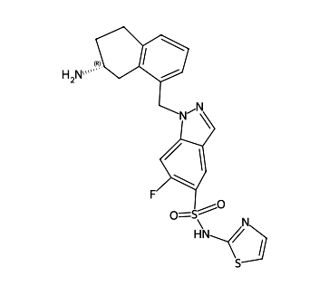 N[C@@H]1CCc2cccc(Cn3ncc4cc(S(=O)(=O)Nc5nccs5)c(F)cc43)c2C1